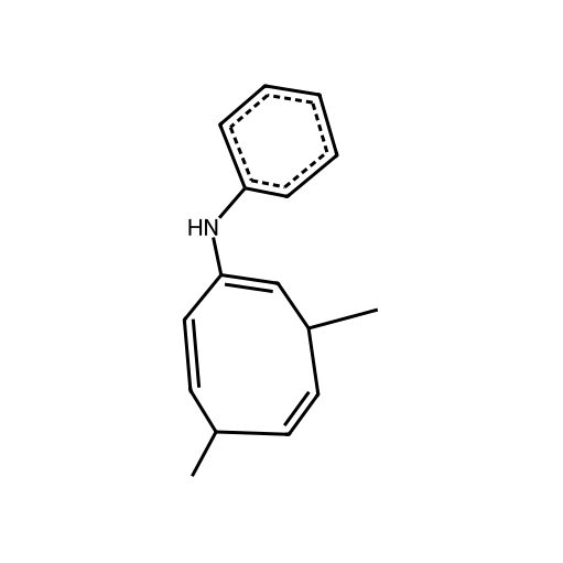 CC1/C=C\C(Nc2ccccc2)=C/C(C)/C=C\1